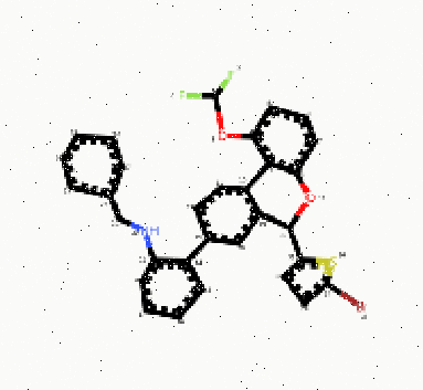 FC(F)Oc1cccc2c1-c1ccc(-c3ccccc3NCc3ccccc3)cc1C(c1ccc(Br)s1)O2